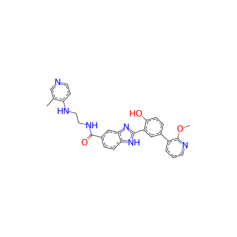 COc1ncccc1-c1ccc(O)c(-c2nc3cc(C(=O)NCCNc4ccncc4C)ccc3[nH]2)c1